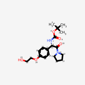 CC(C)(C)OC(=O)N[C@H](C(=O)N1CCCC1)c1ccc(OCCO)cc1